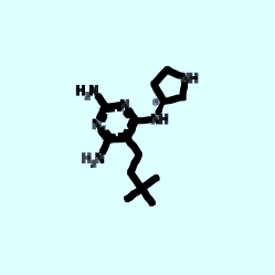 CC(C)(C)CCc1c(N)nc(N)nc1N[C@H]1CCNC1